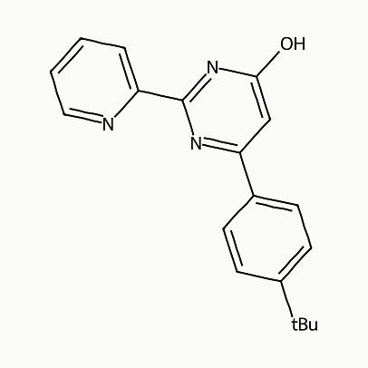 CC(C)(C)c1ccc(-c2cc(O)nc(-c3ccccn3)n2)cc1